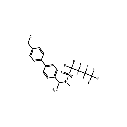 CC(c1ccc(-c2ccc(CCl)cc2)cc1)N(F)S(=O)(=O)C(F)(F)C(F)(F)C(F)(F)C(F)(F)F